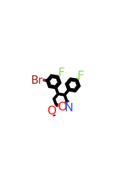 COC(=O)CC(c1cc(F)cc(Br)c1)C(C#N)c1ccc(F)cc1